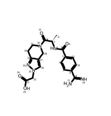 C[C@H](NC(=O)c1ccc(C(=N)N)cc1)C(=O)N1CCc2nn(CC(=O)O)cc2C1